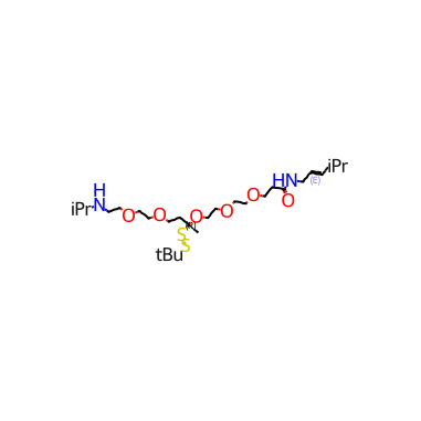 CC(C)/C=C/CNC(=O)CCOCCOCCO[C@@](C)(CCOCCOCCNC(C)C)SSC(C)(C)C